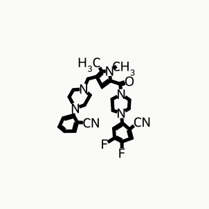 Cc1c(CN2CCN(c3ccccc3C#N)CC2)cc(C(=O)N2CCN(c3cc(F)c(F)cc3C#N)CC2)n1C